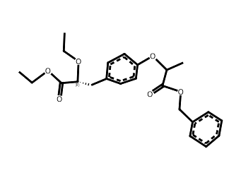 CCOC(=O)[C@@H](Cc1ccc(OC(C)C(=O)OCc2ccccc2)cc1)OCC